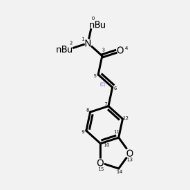 CCCCN(CCCC)C(=O)/C=C/c1ccc2c(c1)OCO2